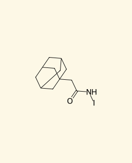 O=C(CC12CC3CC(CC(C3)C1)C2)NI